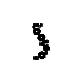 O=C(O)C[C@H]1CC[C@H](c2ccc(C(=O)Nc3nnc(OC4CCC(O)CC4)s3)cc2)CC1